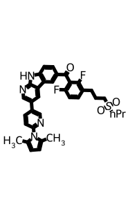 CCCS(=O)(=O)CCCc1ccc(F)c(C(=O)c2ccc3[nH]c4ncc(-c5ccc(-n6c(C)ccc6C)nc5)cc4c3c2)c1F